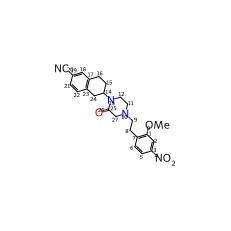 COc1cc([N+](=O)[O-])ccc1CCN1CCN(C2CCc3cc(C#N)ccc3C2)C(=O)C1